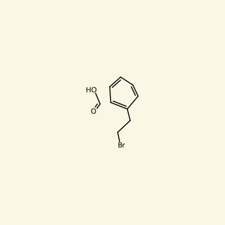 BrCCc1ccccc1.O=CO